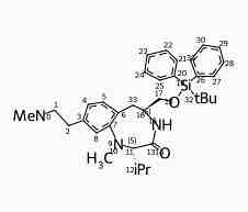 CNCCc1ccc2c(c1)N(C)[C@@H](C(C)C)C(=O)N[C@H](CO[Si](c1ccccc1)(c1ccccc1)C(C)(C)C)C2